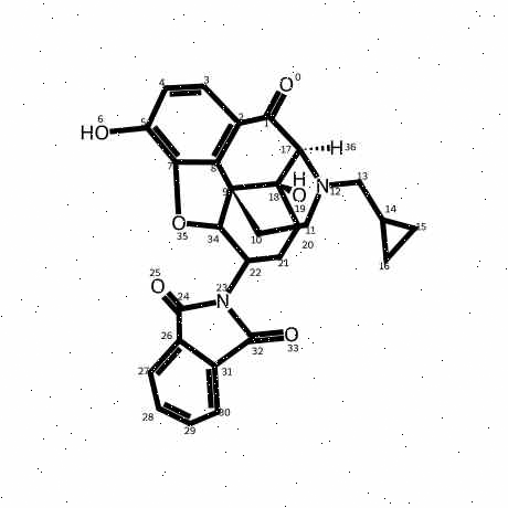 O=C1c2ccc(O)c3c2[C@]24CCN(CC5CC5)[C@H]1[C@]2(O)CCC(N1C(=O)c2ccccc2C1=O)C4O3